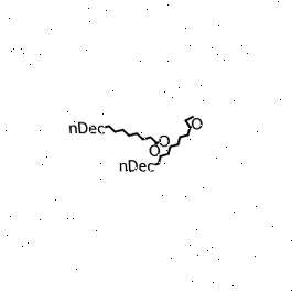 CCCCCCCCCCCCCCCCCC(=O)OC(CCCCCCCCCCCCC)CCCC1CCO1